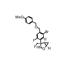 COc1ccc(COCc2cc(F)c([C@@]3(CF)NO[C@@H]4C[C@@H]43)cc2Br)cc1